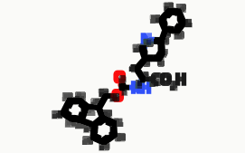 O=C(N[C@@H](Cc1ccc(-c2ccccc2)nc1)C(=O)O)OCC1c2ccccc2-c2ccccc21